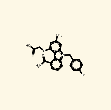 Cc1cc(OCC(=O)O)c2c3c(C(N)=O)cccc3n(Cc3ccc(Br)cc3)c2c1